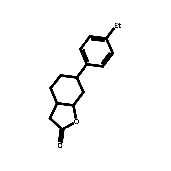 CCc1ccc(C2CCC3CC(=O)OC3C2)cc1